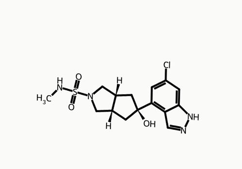 CNS(=O)(=O)N1C[C@@H]2C[C@](O)(c3cc(Cl)cc4[nH]ncc34)C[C@@H]2C1